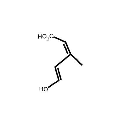 CC(C=CO)=CC(=O)O